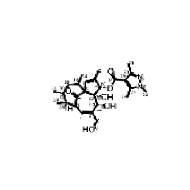 CC1=CC23C(=O)[C@@H](C=C(CO)[C@@H](O)[C@]2(O)[C@H]1OC(=O)c1c(C)nn(C)c1C)C(C)(C)[C@@H](C)CC3C